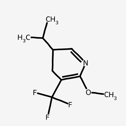 COC1=C(C(F)(F)F)CC(C(C)C)C=N1